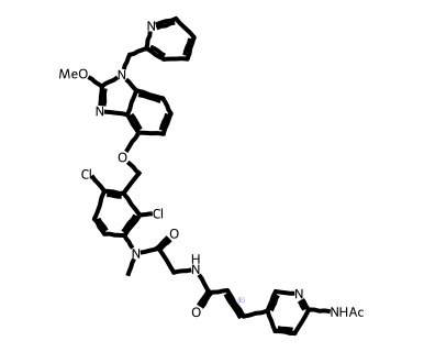 COc1nc2c(OCc3c(Cl)ccc(N(C)C(=O)CNC(=O)/C=C/c4ccc(NC(C)=O)nc4)c3Cl)cccc2n1Cc1ccccn1